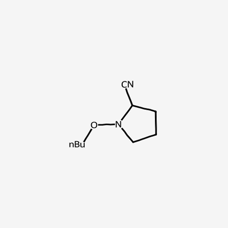 CCCCON1CCCC1C#N